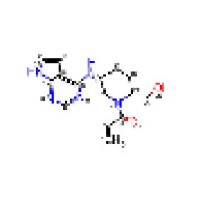 C=CC(=O)N1C[C@H](Nc2ncnc3[nH]ccc23)CC[C@@H]1CO